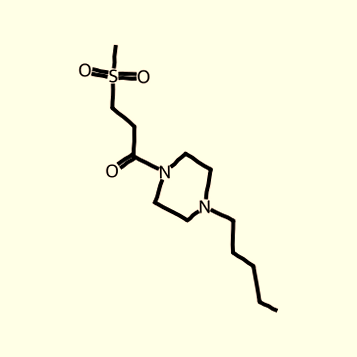 CCCCCN1CCN(C(=O)CCS(C)(=O)=O)CC1